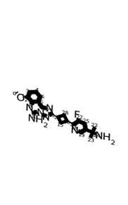 COc1cccc2c1nc(N)n1nc([C@H]3C[C@H](c4ncc(C(C)(C)N)cc4F)C3)nc21